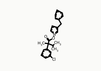 CC(C)C(C)(C(=O)On1ccc(Cc2ccccc2)c1)c1cccc(Cl)c1